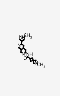 CN1CC2(CC(C(=O)Nc3cc4cc(-c5cnn(C)c5)ncc4cn3)C2)C1